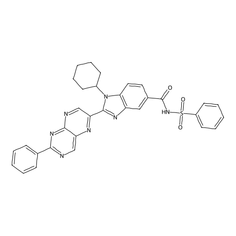 O=C(NS(=O)(=O)c1ccccc1)c1ccc2c(c1)nc(-c1cnc3nc(-c4ccccc4)ncc3n1)n2C1CCCCC1